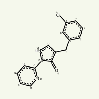 O=c1c(Cc2cccc(Cl)c2)c[nH]n1-c1ccccn1